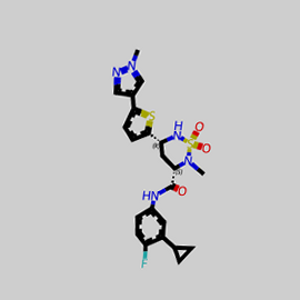 CN1[C@H](C(=O)Nc2ccc(F)c(C3CC3)c2)C[C@H](c2ccc(-c3cnn(C)c3)s2)NS1(=O)=O